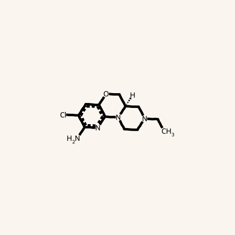 CCN1CCN2c3nc(N)c(Cl)cc3OC[C@H]2C1